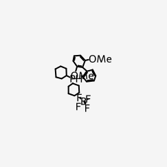 C1CCC(PC2CCCCC2)CC1.COc1cccc(OC)c1-c1ccccc1.F[B-](F)(F)F